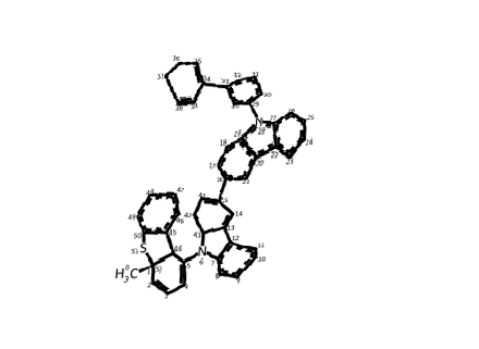 C[C@]12C=CC=C(N3c4ccccc4C4=CC(c5ccc6c(c5)c5ccccc5n6-c5cccc(C6=CCCC=C6)c5)=CCC43)C1c1ccccc1S2